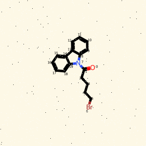 O=C(CCCCBr)n1c2ccccc2c2ccccc21